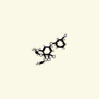 N#COC1(OC#N)C(Cl)=CC(Oc2cccc(Cl)c2)=CC1(Cl)Cl